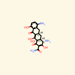 NC(=O)C1=C(O)[C@@H](N)[C@@H]2C[C@@H]3Cc4c(N)ccc(O)c4C(=O)C3=C(O)[C@]2(O)C1=O